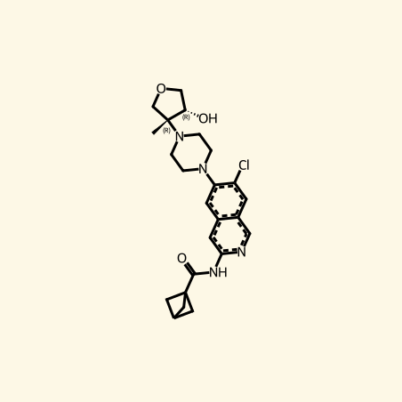 C[C@@]1(N2CCN(c3cc4cc(NC(=O)C56CC(C5)C6)ncc4cc3Cl)CC2)COC[C@@H]1O